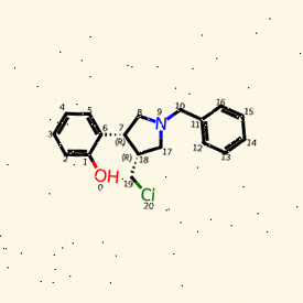 Oc1ccccc1[C@@H]1CN(Cc2ccccc2)C[C@@H]1CCl